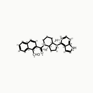 O=Cc1c(C(=O)N2CCC[C@@H]3[C@H]2CCN3c2ncnc3[nH]ccc23)ccc2ccccc12